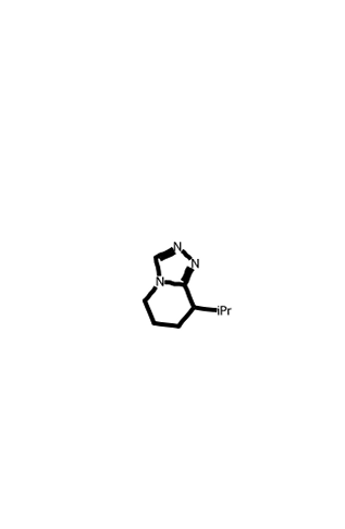 CC(C)C1CCCn2cnnc21